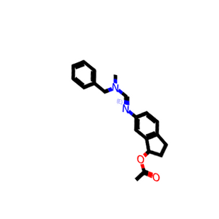 CC(=O)OC1CCc2ccc(/N=C/N(C)Cc3ccccc3)cc21